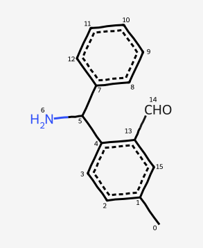 Cc1ccc(C(N)c2ccccc2)c(C=O)c1